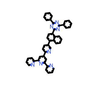 c1ccc(-c2nc(-c3ccccc3)nc(-c3ccc(-c4ccc(-c5cc(-c6ccccn6)nc(-c6ccccn6)c5)nc4)c4ccccc34)n2)cc1